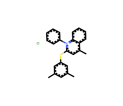 Cc1cc(C)cc(Sc2cc(C)c3ccccc3[n+]2-c2ccccc2)c1.[Cl-]